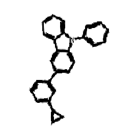 c1ccc(-n2c3ccccc3c3cc(-c4cccc(C5CC5)c4)ccc32)cc1